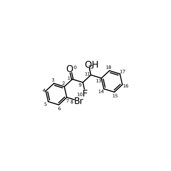 O=C(c1ccccc1Br)C(F)C(O)c1ccccc1